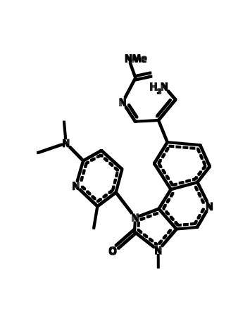 C=C(/N=C\C(=C/N)c1ccc2ncc3c(c2c1)n(-c1ccc(N(C)C)nc1C)c(=O)n3C)NC